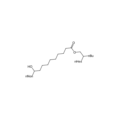 CCCCCCCCCC(O)CCCCCCCCC(=O)OCC(CCCC)CCCCCC